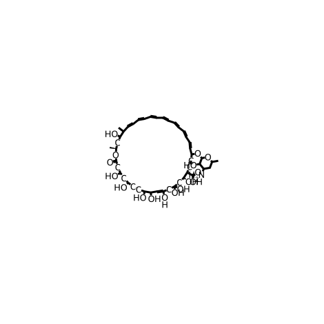 CC1CC(N)C(O)C(OC2/C=C/C=C/C=C/C=C/C=C/C=C/C=C/C(C)C(O)C[C@H](C)OC(=O)CC(O)CC(O)CCC(O)C(O)/C=C(\O)CC(O)(O)C[C@H](O)C(C(=O)O)CC2)O1